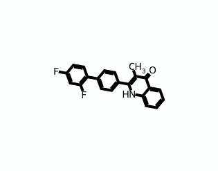 Cc1c(-c2ccc(-c3ccc(F)cc3F)cc2)[nH]c2ccccc2c1=O